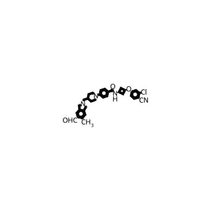 Cc1cc2c(cc1C=O)CN(CC1CCN(c3ccc(C(=O)N[C@H]4C[C@H](Oc5ccc(C#N)c(Cl)c5)C4)cc3)CC1)C2